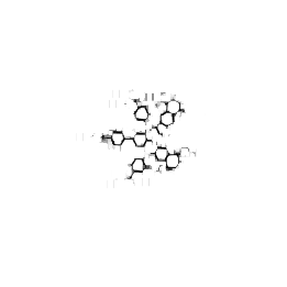 Cc1cc(C(C)(C)C)ccc1N1c2cc3c(cc2B2c4oc5cc6c(cc5c4N(c4ccc(C(C)(C)C)cc4)c4cc(-c5ccc(C(C)(C)C)cc5)cc1c42)C(C)(C)CCC6(C)C)C(C)(C)CCC3(C)C